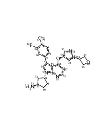 N#Cc1ccc(-c2cn([C@@H]3CC[C@@H](N)C3)c3ncnc(Oc4cnn(C5COC5)c4)c23)cc1F